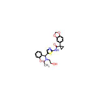 CCN(CCO)C(c1cnc(NC(=O)C2(c3ccc4c(c3)OCO4)CC2)s1)c1ccccc1O